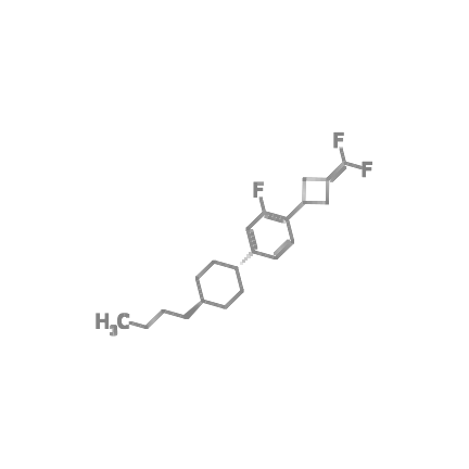 CCCC[C@H]1CC[C@H](c2ccc(C3CC(=C(F)F)C3)c(F)c2)CC1